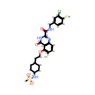 CS(=O)(=O)NC1CCC(CCOc2c(F)ccc3nc(C(=O)NCc4ccc(F)c(Cl)c4)[nH]c(=O)c23)CC1